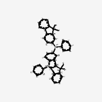 CC1(C)c2ccccc2-c2ccc(N(c3ccccc3)c3ccc4c(c3)c3c(n4-c4ccccc4)-c4ccccc4C3(C)C)cc21